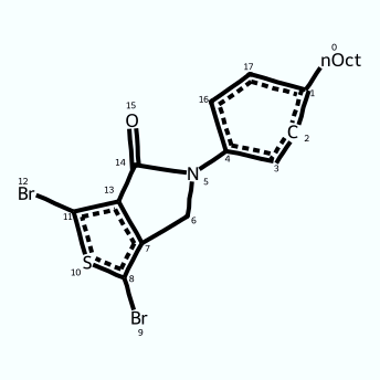 CCCCCCCCc1ccc(N2Cc3c(Br)sc(Br)c3C2=O)cc1